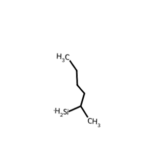 CCCCC(C)[SiH2]